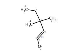 CCC(C)(C)/C=C/[O]